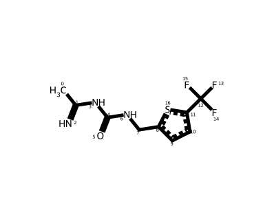 CC(=N)NC(=O)NCc1ccc(C(F)(F)F)s1